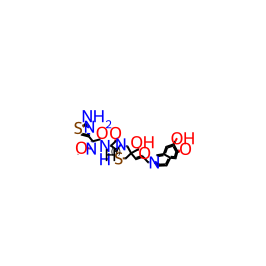 CON=C(C(=O)NC1C(=O)N2CC(C=CCn3ccc4cc(=O)c(O)cc-4c3)(C(=O)O)CS[C@H]12)c1csc(N)n1